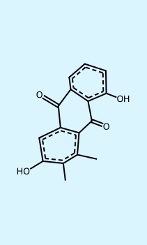 Cc1c(O)cc2c(c1C)C(=O)c1c(O)cccc1C2=O